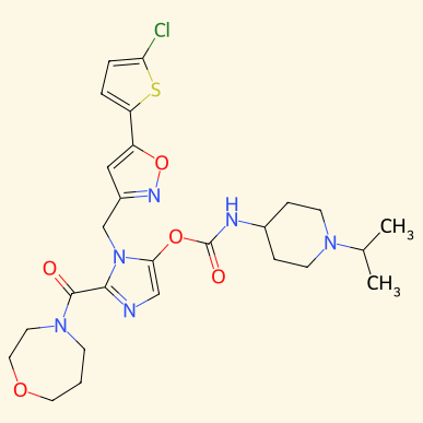 CC(C)N1CCC(NC(=O)Oc2cnc(C(=O)N3CCCOCC3)n2Cc2cc(-c3ccc(Cl)s3)on2)CC1